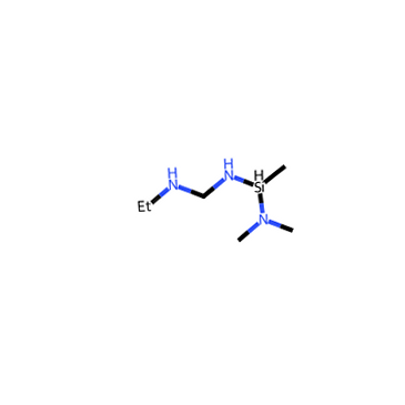 CCNCN[SiH](C)N(C)C